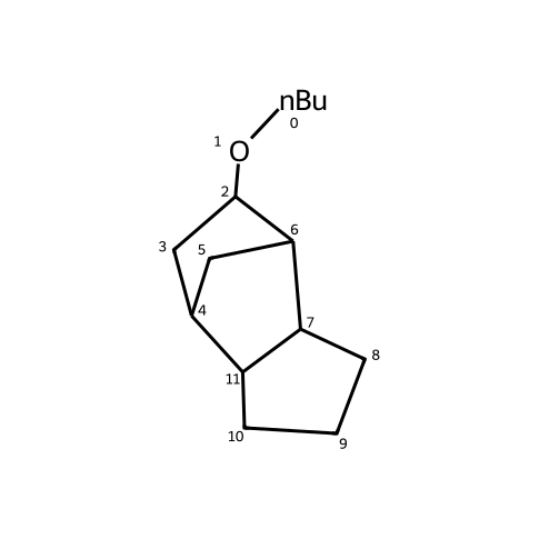 CCCCOC1CC2CC1C1CCCC21